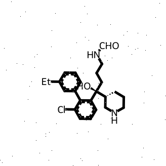 CCc1cccc(-c2c(Cl)cccc2[C@](O)(CCCNC=O)[C@@H]2CCCNC2)c1